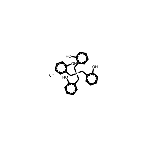 Oc1ccccc1C[P+](Cc1ccccc1O)(Cc1ccccc1O)Cc1ccccc1O.[Cl-]